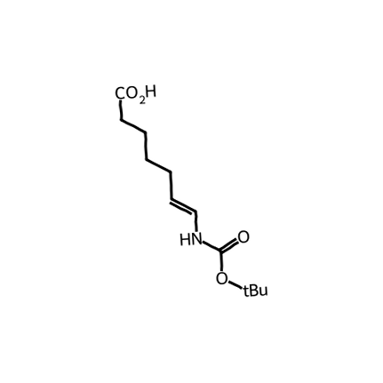 CC(C)(C)OC(=O)NC=CCCCCC(=O)O